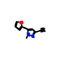 CCc1cc(-c2ccco2)n(C)n1